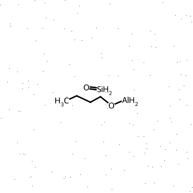 CCCC[O][AlH2].O=[SiH2]